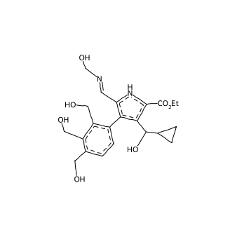 CCOC(=O)c1[nH]c(/C=N/CO)c(-c2ccc(CO)c(CO)c2CO)c1C(O)C1CC1